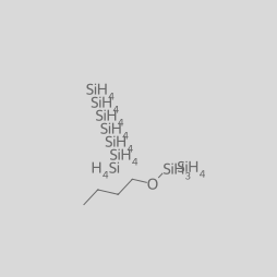 CCCCO[SiH3].[SiH4].[SiH4].[SiH4].[SiH4].[SiH4].[SiH4].[SiH4].[SiH4]